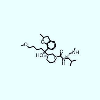 CNC[C@@H](NC(=O)N1CCC[C@@H]([C@@](O)(CCCCOC)c2cccc3c2OC(C)C3)C1)C(C)C